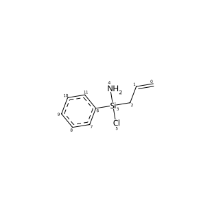 C=CC[Si](N)(Cl)c1ccccc1